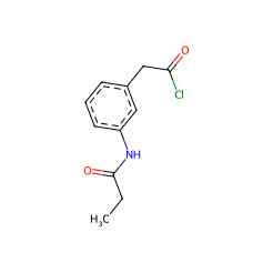 CCC(=O)Nc1cccc(CC(=O)Cl)c1